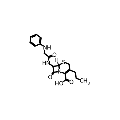 CCCC1=C(C(=O)O)N2C(=O)C(NC(=O)CNc3ccccc3)[C@@H]2SC1